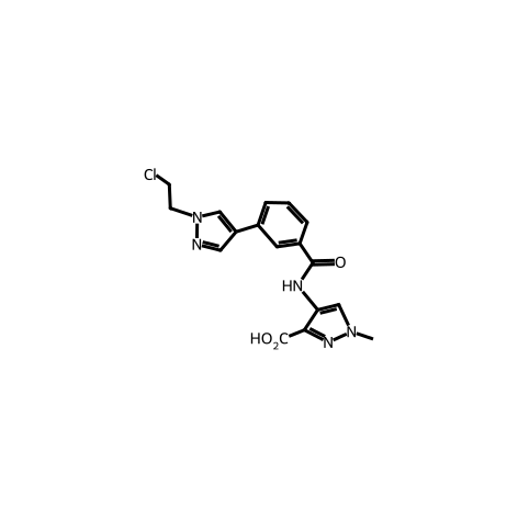 Cn1cc(NC(=O)c2cccc(-c3cnn(CCCl)c3)c2)c(C(=O)O)n1